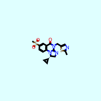 Cc1ncc(CN2C(=O)c3cc(S(C)(=O)=O)ccc3N3C2=NC[C@@H]3C2CC2)s1